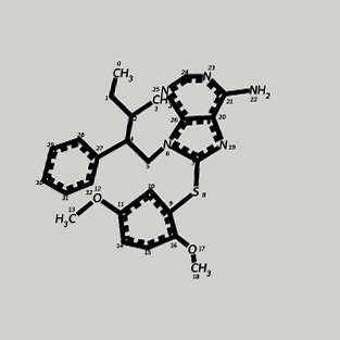 CCC(C)C(Cn1c(Sc2cc(OC)ccc2OC)nc2c(N)ncnc21)c1ccccc1